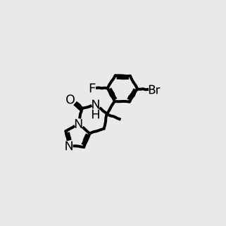 CC1(c2cc(Br)ccc2F)Cc2cncn2C(=O)N1